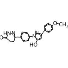 COc1ccc(-c2cc(O)n(-c3ccc(C4=NNC(=O)CC4)cc3)n2)cc1